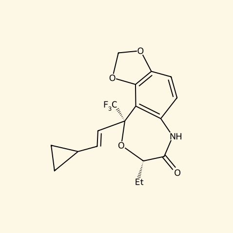 CC[C@@H]1O[C@](/C=C/C2CC2)(C(F)(F)F)c2c(ccc3c2OCO3)NC1=O